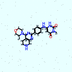 C[C@H]1COCCN1c1nc(-c2ccc(Nc3cc(=O)n(C)c(=O)[nH]3)cc2)nc2c1CCNC2